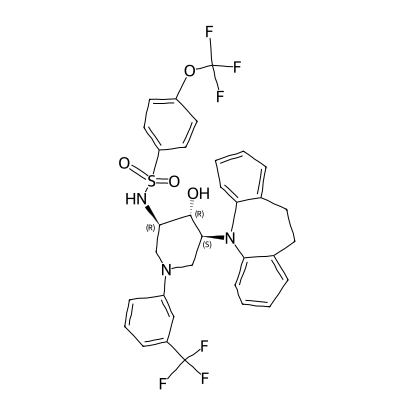 O=S(=O)(N[C@@H]1CN(c2cccc(C(F)(F)F)c2)C[C@H](N2c3ccccc3CCc3ccccc32)[C@H]1O)c1ccc(OC(F)(F)F)cc1